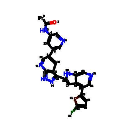 CC(C)C(=O)Nc1cncc(-c2cnc3[nH]nc(-c4cc5c(-c6ccc(F)s6)cncc5[nH]4)c3c2)c1